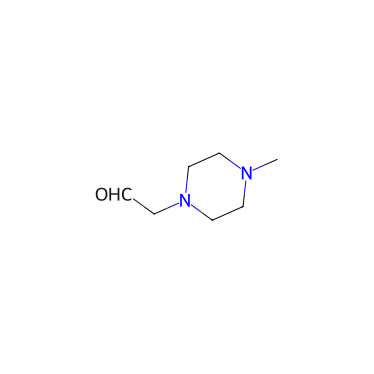 CN1CCN(CC=O)CC1